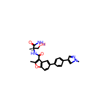 Cc1oc2ccc(-c3ccc(-c4cnn(C)c4)cc3)cc2c1C(=O)N[C@@](C)(CO)C(N)=O